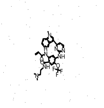 C=CC(=O)Nc1cc(Nc2nccc(-c3cn(C)c4ccccc34)n2)c(OC(F)(F)F)cc1C(=O)NCCN(C)C